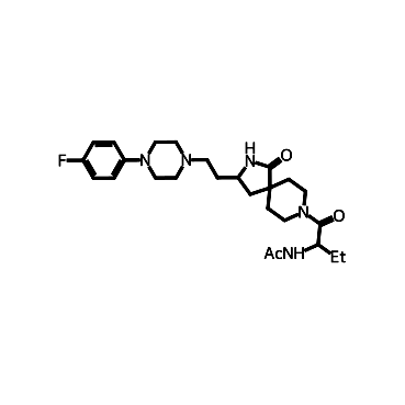 CCC(NC(C)=O)C(=O)N1CCC2(CC1)CC(CCN1CCN(c3ccc(F)cc3)CC1)NC2=O